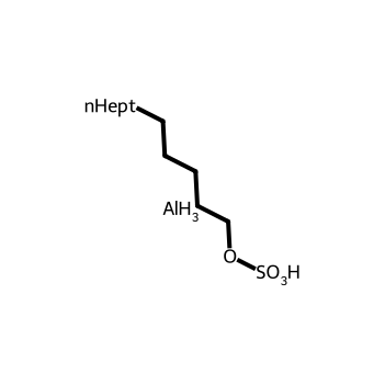 CCCCCCCCCCCCOS(=O)(=O)O.[AlH3]